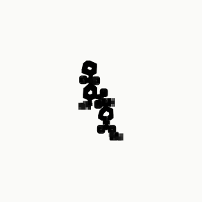 CCCc1ccc(S(=O)(=O)c2ccccc2)cc1S(=O)(=O)NC1CCN(C(=O)OC(C)(C)C)CC1